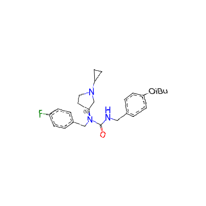 CC(C)COc1ccc(CNC(=O)N(Cc2ccc(F)cc2)[C@H]2CCN(C3CC3)C2)cc1